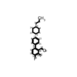 CCC[C@H]1CC[C@H](c2ccc(-c3ccc(F)c(F)c3C=O)cc2)CC1